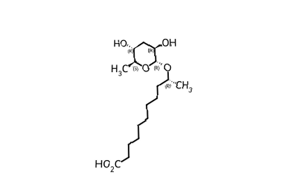 C[C@H](CCCCCCCCC(=O)O)O[C@@H]1O[C@@H](C)[C@H](O)C[C@H]1O